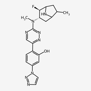 CC1CC2NC1C[C@H](N(C)c1ncc(-c3ccc(-n4ccnn4)cc3O)nn1)[C@H]2F